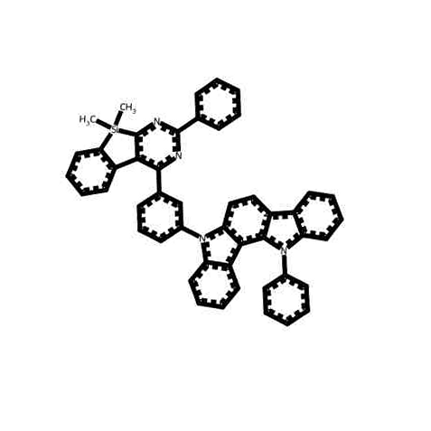 C[Si]1(C)c2ccccc2-c2c(-c3cccc(-n4c5ccccc5c5c4ccc4c6ccccc6n(-c6ccccc6)c45)c3)nc(-c3ccccc3)nc21